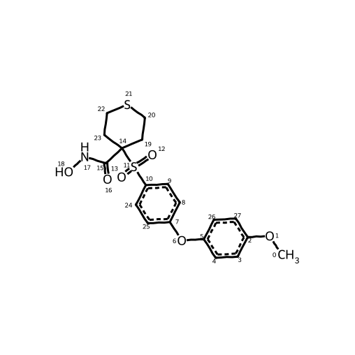 COc1ccc(Oc2ccc(S(=O)(=O)C3(C(=O)NO)CCSCC3)cc2)cc1